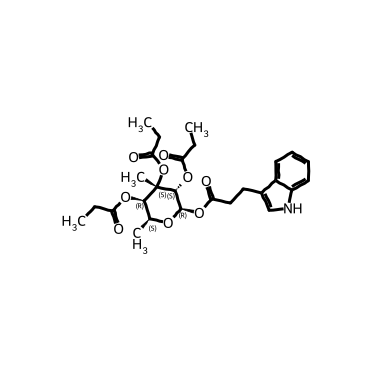 CCC(=O)O[C@@H]1[C@@H](OC(=O)CCc2c[nH]c3ccccc23)O[C@@H](C)[C@@H](OC(=O)CC)[C@]1(C)OC(=O)CC